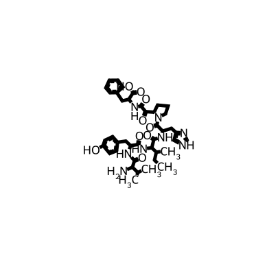 CCC(C)C(NC(=O)C(Cc1ccc(O)cc1)NC(=O)C(N)C(C)C)C(=O)NC(Cc1c[nH]cn1)C(=O)N1CCCC1C(=O)C(=O)NC(Cc1ccccc1)C(=O)O